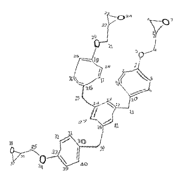 c1cc(OCC2CO2)ccc1Cc1cc(Cc2ccc(OCC3CO3)cc2)cc(Cc2ccc(OCC3CO3)cc2)c1